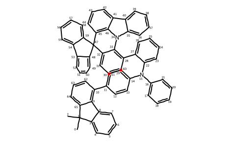 CC1(C)c2ccccc2-c2c(-c3ccc(N(c4ccccc4)c4ccccc4-c4cccc5c4-n4c6ccccc6c6cccc(c64)C54c5ccccc5-c5ccccc54)cc3)cccc21